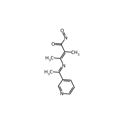 C/C(=N\C(C)=C(/C)C(=O)N=O)c1cccnc1